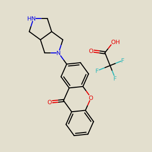 O=C(O)C(F)(F)F.O=c1c2ccccc2oc2ccc(N3CC4CNCC4C3)cc12